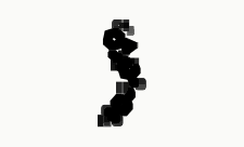 CCS(=O)(=O)c1ccc(CNC(=O)c2cnc3c(c2)nc(C[C@H]2CC[C@@H](C)CC2)n3C2CC2)cc1